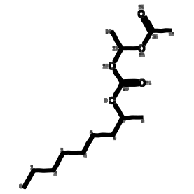 CCCCCCCC(C)OC(=O)OC(C)OC(C)=O